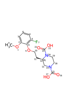 COc1cccc(F)c1OCC[C@@H]1CN(C(=O)O)CCN1C(=O)O